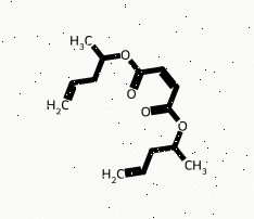 C=CCC(C)OC(=O)/C=C\C(=O)OC(C)CC=C